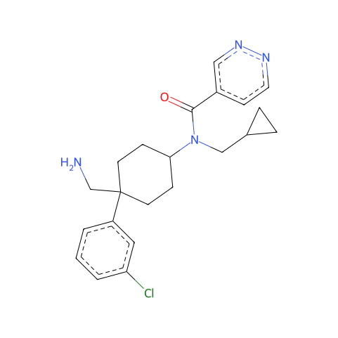 NCC1(c2cccc(Cl)c2)CCC(N(CC2CC2)C(=O)c2ccnnc2)CC1